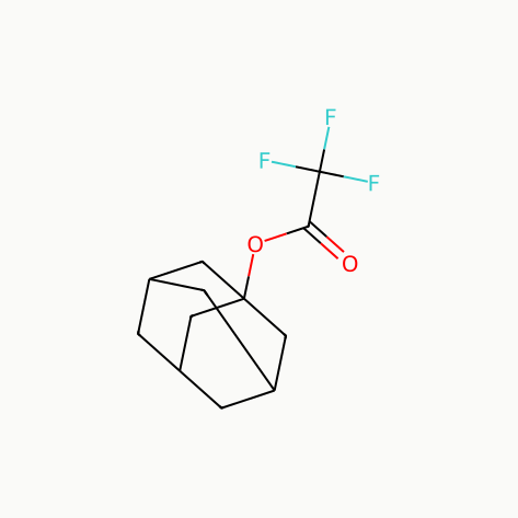 O=C(OC12CC3CC(CC(C3)C1)C2)C(F)(F)F